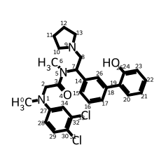 CN(CC(=O)N(C)C(CN1CCCC1)c1cccc(-c2ccccc2O)c1)c1ccc(Cl)c(Cl)c1